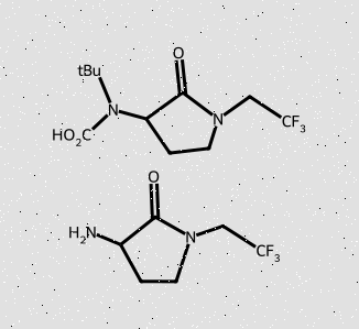 CC(C)(C)N(C(=O)O)C1CCN(CC(F)(F)F)C1=O.NC1CCN(CC(F)(F)F)C1=O